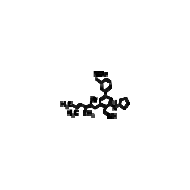 CNCc1cccc(-c2cc(C/C(=C(\C)C=C(C)C)C(C)C)c(C=N)c(NC3CCCC3)c2)c1